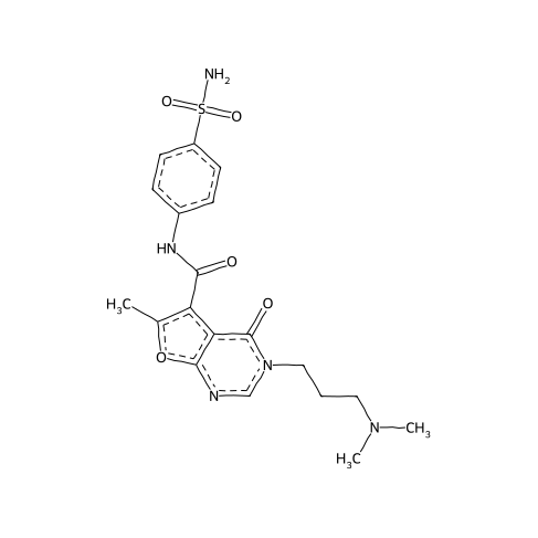 Cc1oc2ncn(CCCN(C)C)c(=O)c2c1C(=O)Nc1ccc(S(N)(=O)=O)cc1